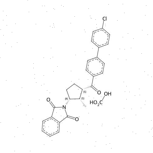 C[C@H]1[C@@H](C(=O)c2ccc(-c3ccc(Cl)cc3)cc2)CC[C@H]1N1C(=O)c2ccccc2C1=O.O=C(O)O